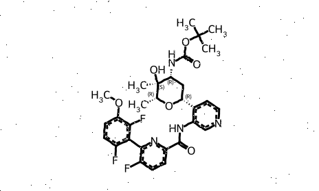 COc1ccc(F)c(-c2nc(C(=O)Nc3cnccc3[C@H]3C[C@@H](NC(=O)OC(C)(C)C)[C@](C)(O)[C@@H](C)O3)ccc2F)c1F